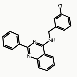 Clc1cccc(CNc2nc(-c3ccccc3)nc3ccccc23)c1